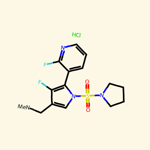 CNCc1cn(S(=O)(=O)N2CCCC2)c(-c2cccnc2F)c1F.Cl